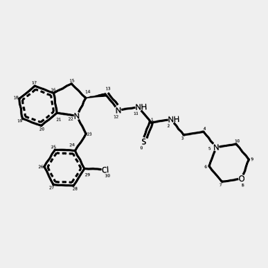 S=C(NCCN1CCOCC1)N/N=C/[C@@H]1Cc2ccccc2N1Cc1ccccc1Cl